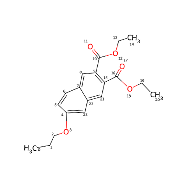 CCCOc1ccc2cc(C(=O)OCC)c(C(=O)OCC)cc2c1